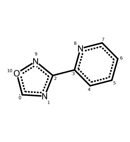 [c]1nc(-c2ccccn2)no1